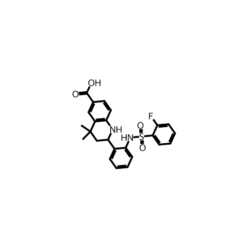 CC1(C)CC(c2ccccc2NS(=O)(=O)c2ccccc2F)Nc2ccc(C(=O)O)cc21